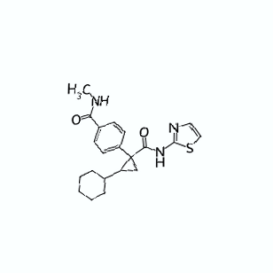 CNC(=O)c1ccc(C2(C(=O)Nc3nccs3)CC2C2CCCCC2)cc1